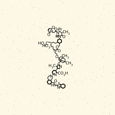 Cc1c(-c2ccc(N3CCc4cccc(C(=O)Nc5nc6ccccc6s5)c4C3)nc2C(=O)O)cnn1CC12CC3(C)CC(C)(C1)CC(OCCN(CCS(=O)(=O)O)C(=O)OCc1ccc(NC(=O)[C@H](C)[C@@H](NC(=O)CN4C(=O)C=CC4=O)C(C)C)cc1CCCCC(=O)O)(C3)C2